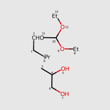 CC(C)CC=O.CC(O)CO.CCOC(C)OCC